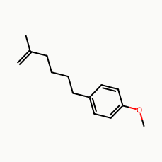 C=C(C)CCCCc1ccc(OC)cc1